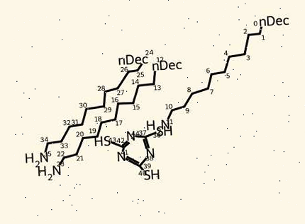 CCCCCCCCCCCCCCCCCCCCN.CCCCCCCCCCCCCCCCCCCCN.CCCCCCCCCCCCCCCCCCCCN.Sc1nc(S)nc(S)n1